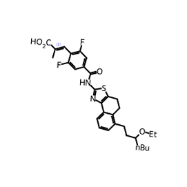 CCCCC(CCc1cccc2c1CCc1sc(NC(=O)c3cc(F)c(/C=C(\C)C(=O)O)c(F)c3)nc1-2)OCC